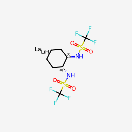 O=S(=O)(N[C@@H]1CCCC[C@H]1NS(=O)(=O)C(F)(F)F)C(F)(F)F.[La].[LiH]